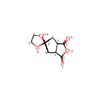 O=C1OC(=O)C2CC3(CC12)OCCO3